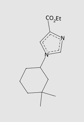 CCOC(=O)c1cn(C2CCCC(C)(C)C2)cn1